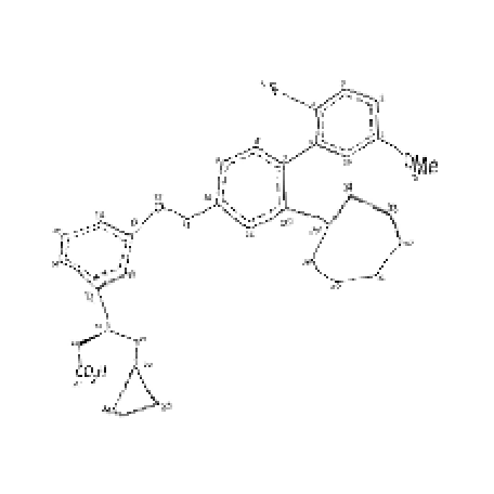 COc1ccc(F)c(-c2ccc(COc3cccc([C@H](CC(=O)O)CC4CC4)c3)cc2C2CCCCCC2)c1